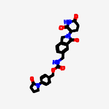 O=C1CCC(N2Cc3ccc(CNC(=O)OCc4ccc(N5CCCC5=O)cc4)cc3C2=O)C(=O)N1